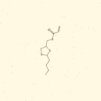 C=CC(=O)SCC1CSC(CCCC)S1